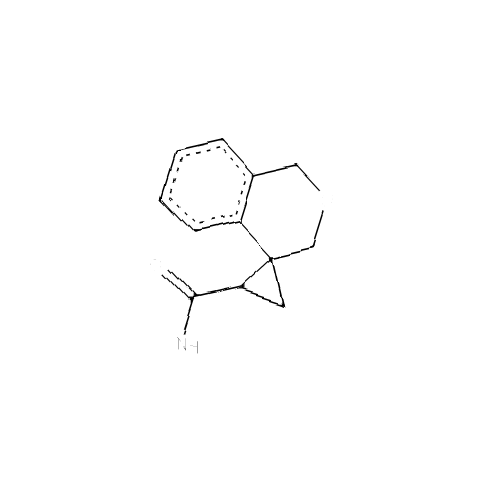 NC(=O)C1CC12COCc1ccccc12